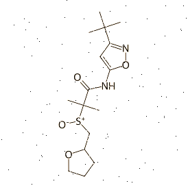 CC(C)(C)c1cc(NC(=O)C(C)(C)[S+]([O-])CC2CCCO2)on1